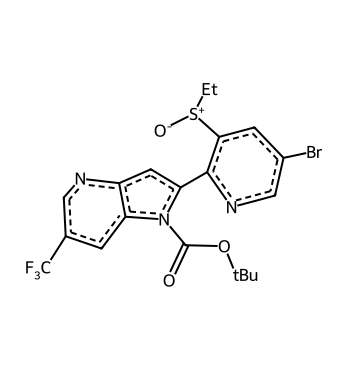 CC[S+]([O-])c1cc(Br)cnc1-c1cc2ncc(C(F)(F)F)cc2n1C(=O)OC(C)(C)C